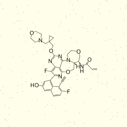 C#Cc1c(F)ccc2cc(O)cc(-c3nc4c5c(nc(OCC6(CN7CCOCC7)CC6)nc5c3F)N3CCOC[C@@H](NC(=O)C=C)[C@@H]3CO4)c12